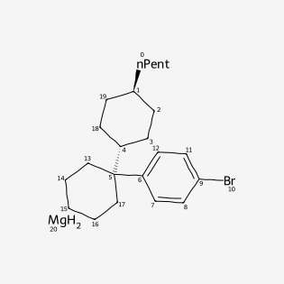 CCCCC[C@H]1CC[C@H](C2(c3ccc(Br)cc3)CCCCC2)CC1.[MgH2]